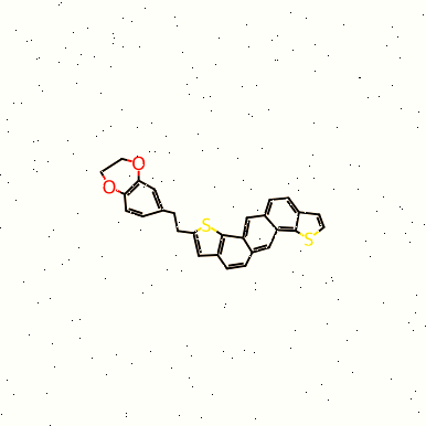 c1cc2ccc3cc4c(ccc5cc(CCc6ccc7c(c6)OCCO7)sc54)cc3c2s1